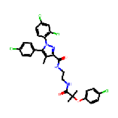 Cc1c(C(=O)NCCNC(=O)C(C)(C)Oc2ccc(Cl)cc2)nn(-c2ccc(Cl)cc2Cl)c1-c1ccc(Cl)cc1